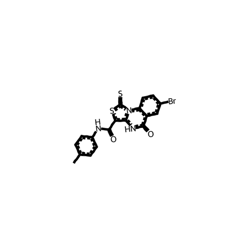 Cc1ccc(NC(=O)c2sc(=S)n3c2[nH]c(=O)c2cc(Br)ccc23)cc1